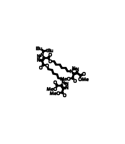 CCC(C)C(n1nnc(C(=O)OCCCCCCn2nnc(C(=O)OC)c2C(=O)OC)c1C(=O)OCCCCCCn1nnc(C(=O)OC)c1C(=O)OC)C(C)(C)C